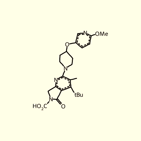 COc1ccc(OC2CCN(c3nc4c(c(C(C)(C)C)c3C)C(=O)N(C(=O)O)C4)CC2)cn1